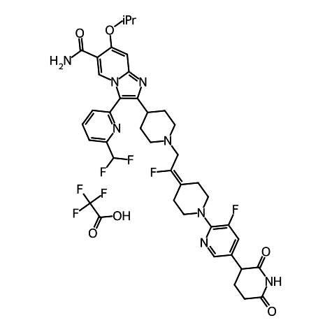 CC(C)Oc1cc2nc(C3CCN(CC(F)=C4CCN(c5ncc(C6CCC(=O)NC6=O)cc5F)CC4)CC3)c(-c3cccc(C(F)F)n3)n2cc1C(N)=O.O=C(O)C(F)(F)F